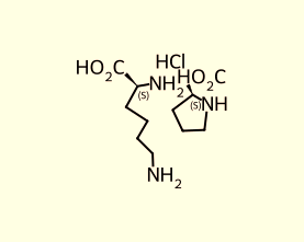 Cl.NCCCC[C@H](N)C(=O)O.O=C(O)[C@@H]1CCCN1